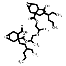 CCCC(CC)CCC1(C(=O)OCC(C)OCC(C)OC(=O)C2(CCC(CC)CCC)CC3OC3CC2C(=O)O)CC2OC2CC1C(=O)O